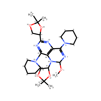 COC1N=C(N2CCCCC2)c2nc(C3COC(C)(C)O3)nc(N3CCCCC3)c2N1C1COC(C)(C)O1